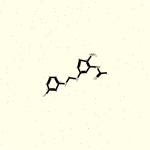 CC(=O)Nc1cc(OCOc2cccc(F)c2)ccc1N